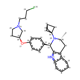 C[C@@H]1Cc2c([nH]c3ccccc23)[C@@H](c2ccc(O[C@H]3CCN(CCCF)C3)cc2)N1C12CC(C1)C2